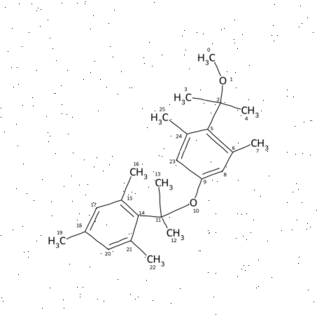 COC(C)(C)c1c(C)cc(OC(C)(C)c2c(C)cc(C)cc2C)cc1C